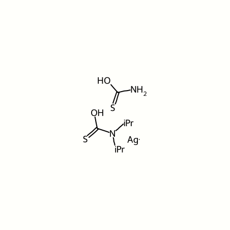 CC(C)N(C(O)=S)C(C)C.NC(O)=S.[Ag]